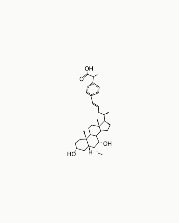 CC[C@H]1[C@@H](O)C2C3CC[C@H]([C@H](C)C/C=C/c4ccc(C(C)C(=O)O)cc4)[C@@]3(C)CCC2[C@@]2(C)CC[C@@H](O)C[C@@H]12